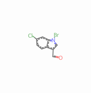 O=Cc1cn(Br)c2cc(Cl)ccc12